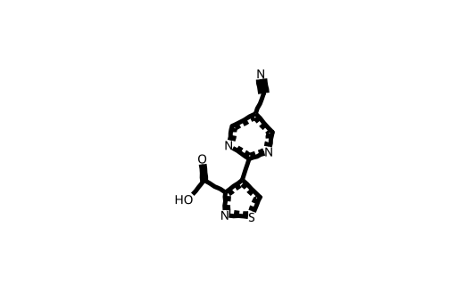 N#Cc1cnc(-c2csnc2C(=O)O)nc1